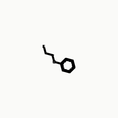 FC[CH]Oc1ccccc1